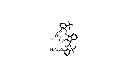 CCOc1cccc(C(F)(F)F)c1OCn1c(N)[n+](COc2c(OCC)cccc2C(F)(F)F)c2ccccc21.[Br-]